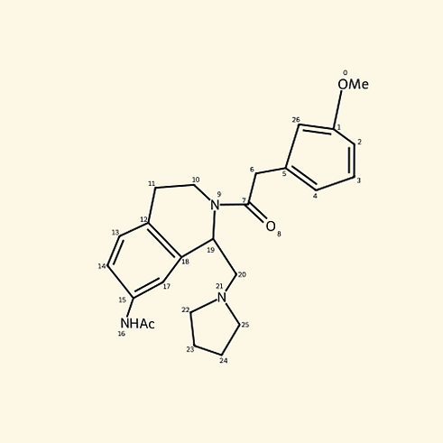 COc1cccc(CC(=O)N2CCc3ccc(NC(C)=O)cc3C2CN2CCCC2)c1